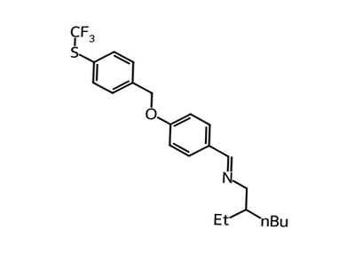 CCCCC(CC)CN=Cc1ccc(OCc2ccc(SC(F)(F)F)cc2)cc1